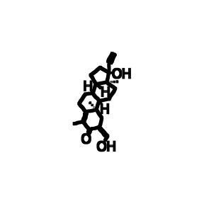 C#C[C@]1(O)CC[C@H]2[C@@H]3CCC4=C(C)C(=O)/C(=C\O)C[C@]4(C)[C@H]3CC[C@@]21C